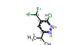 CC(C)c1cc(C(F)F)c(Cl)nn1